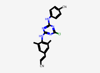 Cc1cc(/C=C/C#N)cc(C)c1Nc1nc(Cl)nc(Nc2ccc(C#N)cc2)n1